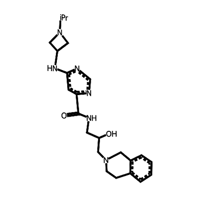 CC(C)N1CC(Nc2cc(C(=O)NCC(O)CN3CCc4ccccc4C3)ncn2)C1